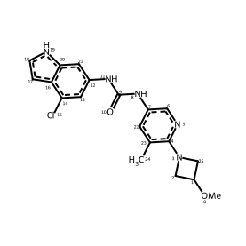 COC1CN(c2ncc(NC(=O)Nc3cc(Cl)c4cc[nH]c4c3)cc2C)C1